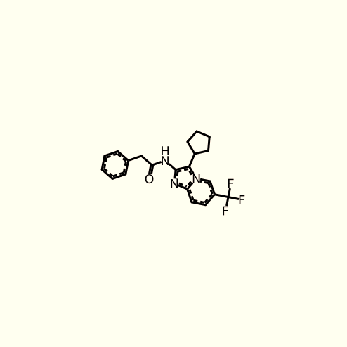 O=C(Cc1ccccc1)Nc1nc2ccc(C(F)(F)F)cn2c1C1CCCC1